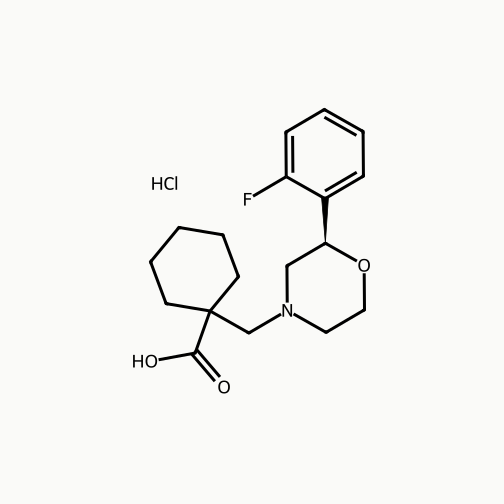 Cl.O=C(O)C1(CN2CCO[C@H](c3ccccc3F)C2)CCCCC1